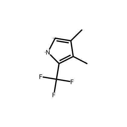 CC1=[C][N]C(C(F)(F)F)=C1C